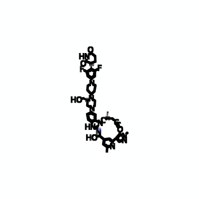 Cc1cc2cc(n1)-c1cnn(C)c1OCCC[C@@H](C)CN1/C(=N/C2O)Nc2ccc(N3CCN(C4CCN(c5cc(F)c([C@H]6CCC(=O)NC6=O)c(F)c5)CC4)[C@H](CO)C3)cc21